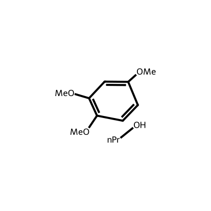 CCCO.COc1ccc(OC)c(OC)c1